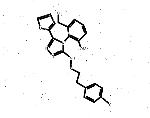 COc1cccc(CO)c1-n1c(NSCCc2ccc(Cl)cc2)nnc1-c1ccco1